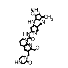 C=C1CC(Nc2cc(NC(=O)N3CCCc4cc(CN5CCNCC5=O)c(C=O)nc43)ncc2C#N)C(OC)C1